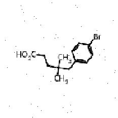 CC(C)(CCC(=O)O)Cc1ccc(Br)cc1